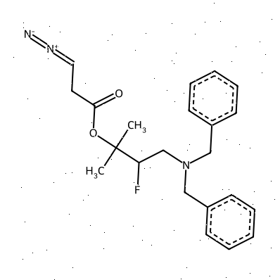 CC(C)(OC(=O)CC=[N+]=[N-])C(F)CN(Cc1ccccc1)Cc1ccccc1